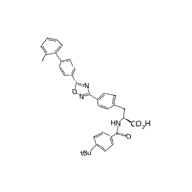 Cc1ccccc1-c1ccc(-c2nc(-c3ccc(C[C@H](NC(=O)c4ccc(C(C)(C)C)cc4)C(=O)O)cc3)no2)cc1